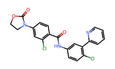 O=C(Nc1ccc(Cl)c(-c2ccccn2)c1)c1ccc(N2CCOC2=O)cc1Cl